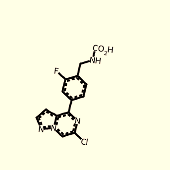 O=C(O)NCc1ccc(-c2nc(Cl)cn3nccc23)cc1F